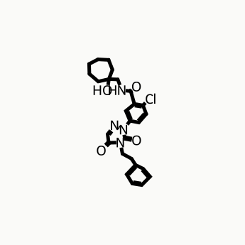 O=C(NCC1(O)CCCCCC1)c1cc(-n2ncc(=O)n(CCc3ccccc3)c2=O)ccc1Cl